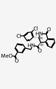 COC(=O)c1cccc(CNC(=O)[C@@H]2c3ccccc3C(=O)N[C@H]2c2ccc(Cl)cc2Cl)c1